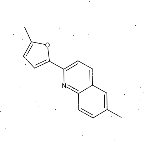 Cc1ccc2nc(-c3ccc(C)o3)ccc2c1